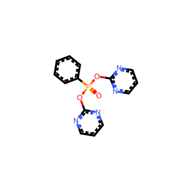 O=P(Oc1ncccn1)(Oc1ncccn1)c1ccccc1